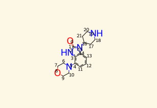 O=c1[nH]c2c(N3CCOCC3)cccc2n1C1CCNCC1